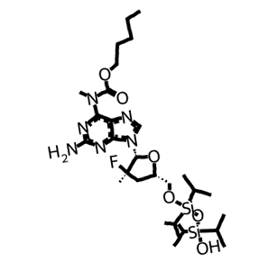 CCCCCOC(=O)N(C)c1nc(N)nc2c1ncn2[C@@H]1O[C@H](CO[Si](O[Si](O)(C(C)C)C(C)C)(C(C)C)C(C)C)C[C@@]1(C)F